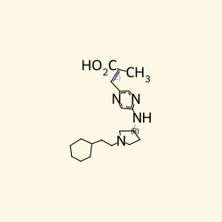 C/C(=C\c1cnc(N[C@@H]2CCN(CCC3CCCCC3)C2)cn1)C(=O)O